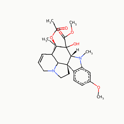 CC[C@]12C=CCN3CC[C@@]4(c5ccc(OC)cc5N(C)[C@H]4C(O)(C(=O)OC)[C@@H]1OC(C)=O)C32